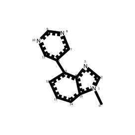 Cn1cnc2c(-c3cncnc3)cccc21